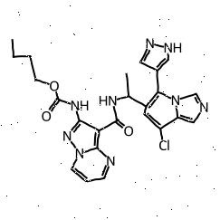 CCCCOC(=O)Nc1nn2cccnc2c1C(=O)NC(C)c1cc(Cl)c2cncn2c1-c1cn[nH]c1